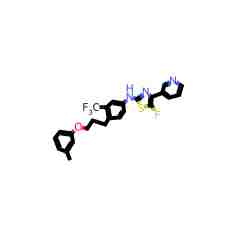 Cc1cccc(OCCCc2ccc(Nc3nc(-c4cccnc4)c(F)s3)cc2C(F)(F)F)c1